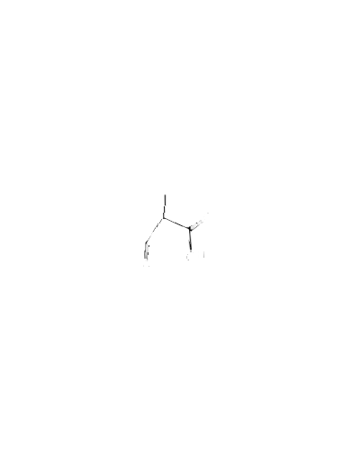 CC([C]=O)C(=O)O